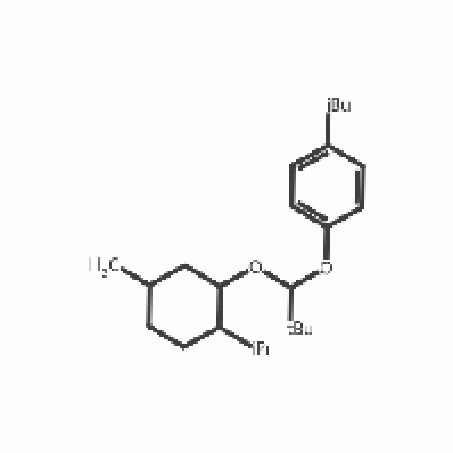 CCC(C)c1ccc(OC(OC2CC(C)CCC2C(C)C)C(C)(C)C)cc1